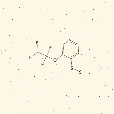 FC(F)C(F)(F)Oc1ccccc1SS